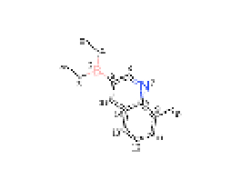 CCB(CC)c1cnc2c(C)cccc2c1